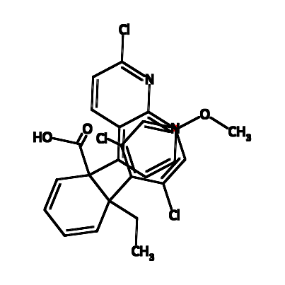 CCC1(c2c(Cl)cncc2Cl)C=CC=CC1(C(=O)O)c1ccc(OC)c2nc(Cl)ccc12